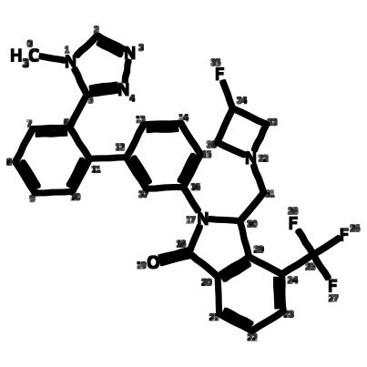 Cn1cnnc1-c1ccccc1-c1cccc(N2C(=O)c3cccc(C(F)(F)F)c3C2CN2CC(F)C2)c1